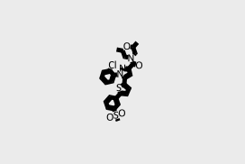 CC1CN(C(=O)c2cc(-c3ccc(-c4cccc(S(C)(=O)=O)c4)s3)n(-c3ccccc3Cl)n2)CC(C)O1